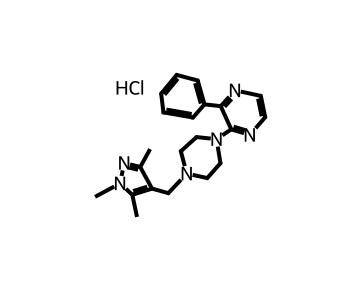 Cc1nn(C)c(C)c1CN1CCN(c2nccnc2-c2ccccc2)CC1.Cl